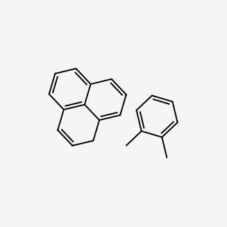 C1=Cc2cccc3cccc(c23)C1.Cc1ccccc1C